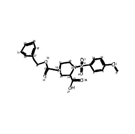 COc1ccc(S(=O)(=O)N2CCN(C(=O)OCc3ccccc3)CC2C(=O)O)cc1